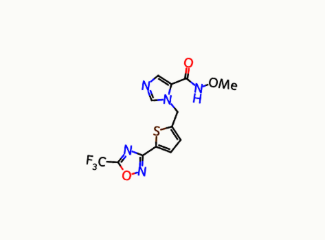 CONC(=O)c1cncn1Cc1ccc(-c2noc(C(F)(F)F)n2)s1